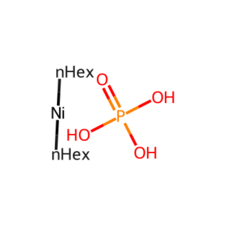 CCCCC[CH2][Ni][CH2]CCCCC.O=P(O)(O)O